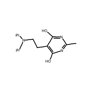 Cc1nc(O)c(CCN(C(C)C)C(C)C)c(O)n1